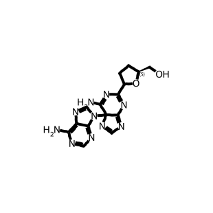 NC1=NC(C2CC[C@@H](CO)O2)=NC2=NC=NC12n1cnc2c(N)ncnc21